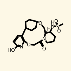 CS(=O)(=O)NC1CCCN2C(=O)COc3nc(O)ccc3C3CCC(CC3)OC[C@@H]12